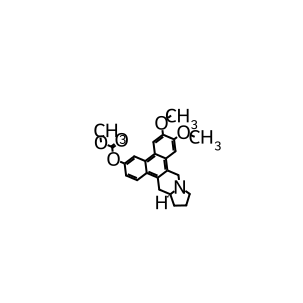 COC(=O)Oc1ccc2c3c(c4cc(OC)c(OC)cc4c2c1)CN1CCC[C@H]1C3